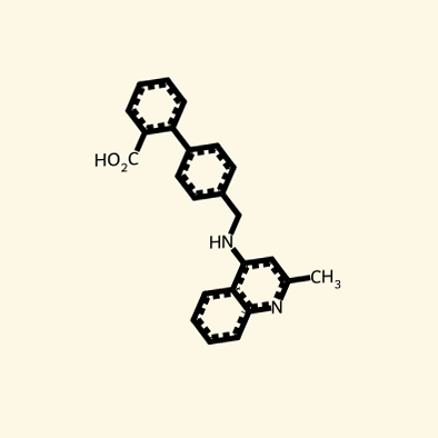 Cc1cc(NCc2ccc(-c3ccccc3C(=O)O)cc2)c2ccccc2n1